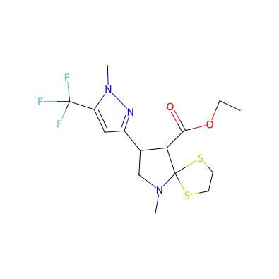 CCOC(=O)C1C(c2cc(C(F)(F)F)n(C)n2)CN(C)C12SCCS2